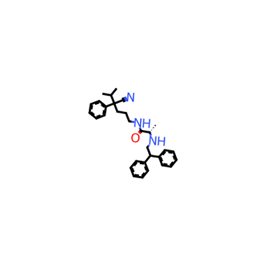 CC(C)C(C#N)(CCCNC(=O)[C@H](C)NCC(c1ccccc1)c1ccccc1)c1ccccc1